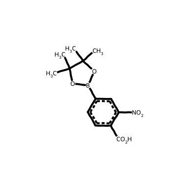 CC1(C)OB(c2ccc(C(=O)O)c([N+](=O)[O-])c2)OC1(C)C